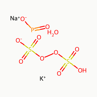 O.O=P[O-].O=S(=O)([O-])OOS(=O)(=O)O.[K+].[Na+]